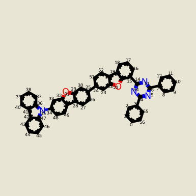 c1ccc(-c2nc(-c3ccccc3)nc(-c3cccc4c3oc3cc(-c5ccc6c(c5)oc5cc(-n7c8ccccc8c8ccccc87)ccc56)ccc34)n2)cc1